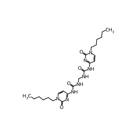 CCCCCCn1ccc(NC(=O)NCNC(=O)Nc2ccn(CCCCCC)c(=O)n2)nc1=O